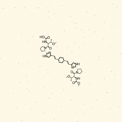 COC(=O)N[C@H](C(=O)N1CCC[C@H]1c1nc(/C=C/c2ccc(/C=C/c3c[nH]c([C@@H]4CCCN4C(=O)[C@@H](NC(=O)O)[C@@H](C)OC)n3)cc2)c[nH]1)[C@@H](C)OC